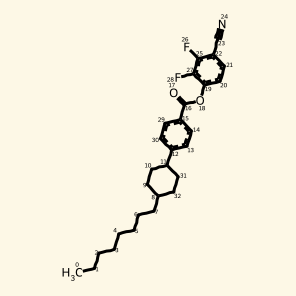 CCCCCCCCC1CCC(c2ccc(C(=O)Oc3ccc(C#N)c(F)c3F)cc2)CC1